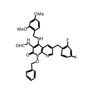 COc1ccc(CNc2c(NC=O)c(=O)n(OCc3ccccc3)c3ncc(Cc4ccc(F)cc4F)cc23)c(OC)c1